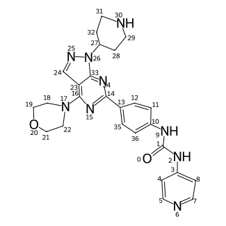 O=C(Nc1ccncc1)Nc1ccc(-c2nc(N3CCOCC3)c3cnn(C4CCNCC4)c3n2)cc1